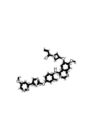 C=CC(=O)N1CC(Oc2cc3c(Nc4ccc(Oc5nc(-c6cc(OC)cnn6)cs5)cc4F)ncnc3cc2OC)C1